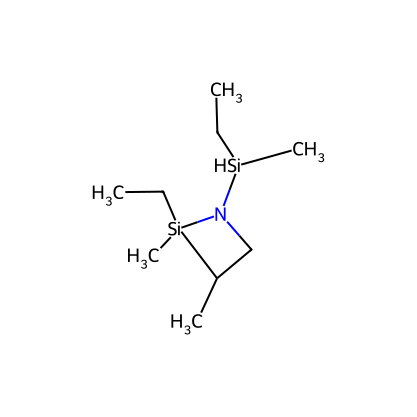 CC[SiH](C)N1CC(C)[Si]1(C)CC